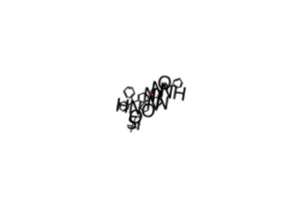 CC(C)(C)[Si](C)(C)OC[C@H]1O[C@@H](n2cnc3c(NC(=O)c4ccccc4)ncnc32)C[C@H]1NC(c1ccccc1)(c1ccccc1)c1ccccc1